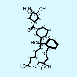 CCC(C)COc1ccccc1[C@](O)(CCCCOC)C1CCCN(C(=O)[C@H]2C[C@@H](N)[C@@H](O)C2)C1